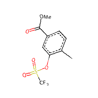 COC(=O)c1ccc(C)c(OS(=O)(=O)C(F)(F)F)c1